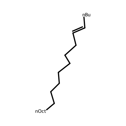 [CH2]CCCC=CCCCCCCCCCCCCCC[CH2]